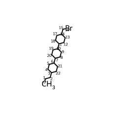 CCCC1CCC(C2CCC(C3CCC(CBr)CC3)CC2)CC1